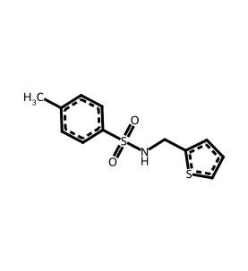 Cc1ccc(S(=O)(=O)NCc2cccs2)cc1